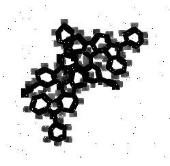 N#Cc1ccc(-c2nc(-c3ccccc3)nc(-c3ccc(C#N)cc3-n3c4ccccc4c4ccc5c(c6ccccc6n5-c5ccccc5)c43)n2)c(C2c3ccccc3-c3ccc4c(c32)c2ccccc2n4-c2ccccc2)c1